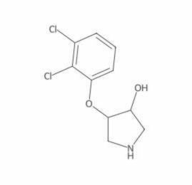 OC1CNCC1Oc1cccc(Cl)c1Cl